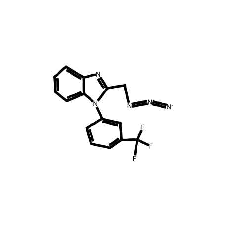 [N-]=[N+]=NCc1nc2ccccc2n1-c1cccc(C(F)(F)F)c1